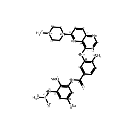 COc1c(NC(=O)c2ccc(C)c(Nc3ncnc4ccc(N5CCN(C)CC5)nc34)c2)cc(C(C)(C)C)cc1N[S+](C)[O-]